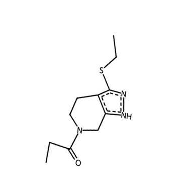 CCSc1n[nH]c2c1CCN(C(=O)CC)C2